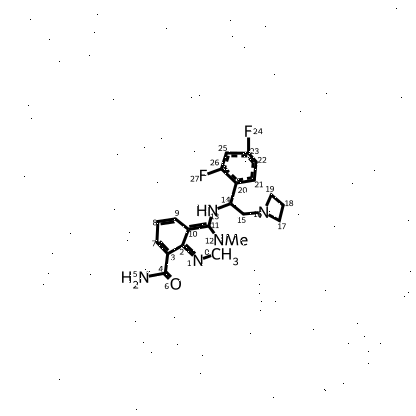 C/N=C1/C(C(N)=O)=CC=C/C1=C(/NC)NC(CN1CCC1)c1ccc(F)cc1F